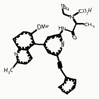 COc1ccc2nc(C)ccc2c1-c1cc(C#Cc2ccccc2)nc(NC(=O)C(C)N(CC(C)(C)C)C(=O)O)c1